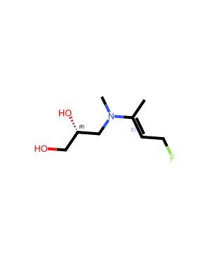 C/C(=C\CF)N(C)C[C@@H](O)CO